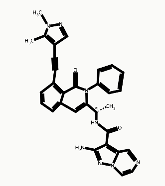 Cc1c(C#Cc2cccc3cc([C@H](C)NC(=O)c4c(N)nn5ccncc45)n(-c4ccccc4)c(=O)c23)cnn1C